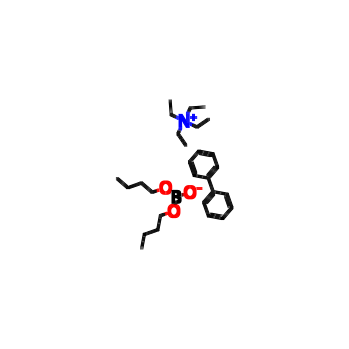 CCCCOB([O-])OCCCC.CC[N+](CC)(CC)CC.c1ccc(-c2ccccc2)cc1